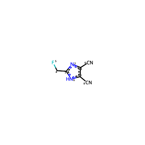 N#Cc1nc(CF)[nH]c1C#N